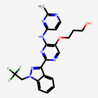 Cc1nccc(Nc2nc(-c3nn(CC(F)(F)F)c4ccccc34)ncc2OCCCO)n1